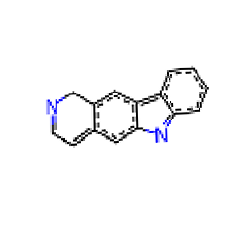 C1=NCc2cc3c(cc2=C1)N=c1ccccc1=3